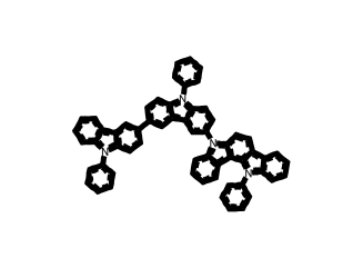 c1ccc(-n2c3ccccc3c3cc(-c4ccc5c(c4)c4cc(-n6c7ccccc7c7c6ccc6c8ccccc8n(-c8ccccc8)c67)ccc4n5-c4ccccc4)ccc32)cc1